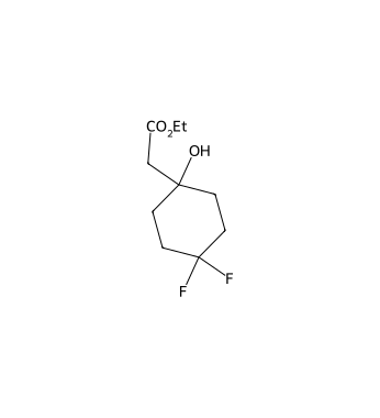 CCOC(=O)CC1(O)CCC(F)(F)CC1